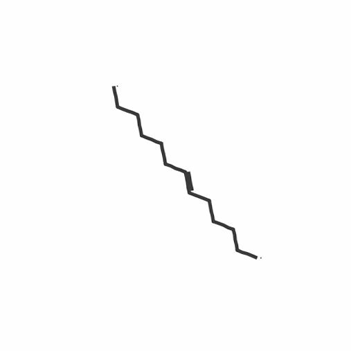 [CH2]CCCC/C=C/CCCCC[CH2]